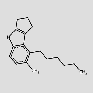 CCCCCCc1c(C)ccc2c1C1=C(CCC1)[N]2